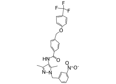 Cc1nn(Cc2cccc([N+](=O)[O-])c2)c(C)c1NC(=O)c1ccc(COc2ccc(C(F)(F)F)cc2)cc1